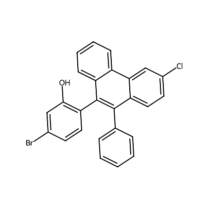 Oc1cc(Br)ccc1-c1c(-c2ccccc2)c2ccc(Cl)cc2c2ccccc12